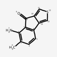 Cc1ccc2c(c1N)C(=O)c1cscc1-2